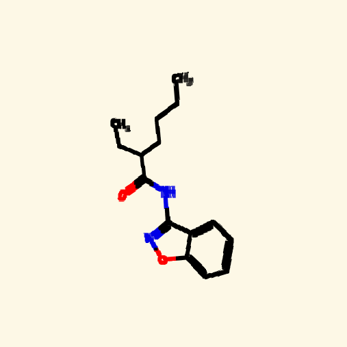 CCCCC(CC)C(=O)Nc1noc2ccccc12